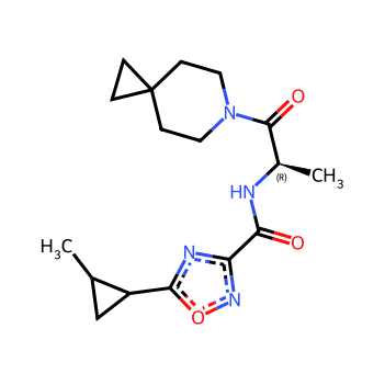 CC1CC1c1nc(C(=O)N[C@H](C)C(=O)N2CCC3(CC2)CC3)no1